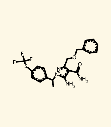 CC(c1ccc(SC(F)(F)F)cc1)n1nc(COCc2ccccc2)c(C(N)=O)c1N